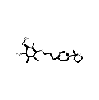 CC1=C(OCCCc2ccc(C3(C)OCCO3)nn2)C(C)=C(C)C(N)C1=NO